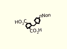 CCCCCCCCCc1ccc(Cc2cc(C(=O)O)ccc2C(=O)O)cc1